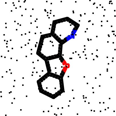 c1cnc2c(c1)ccc1c3ccccc3oc12